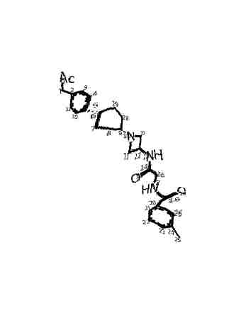 CC(=O)Cc1ccc([C@H]2CC[C@@H](N3CC(NC(=O)CNC(=O)c4cccc(C)c4)C3)CC2)cc1